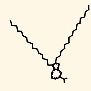 CCCCCCCCCCCCCCCCCc1cc2cc(C(C)C)cccc-2c1CCCCCCCCCCCCCCCC